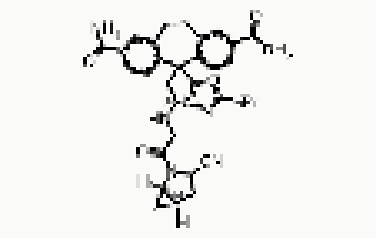 CC(C)c1nnc(C2(C[C@@H](C)NCC(=O)N3C(C#N)C[C@@H]4C[C@@H]43)c3ccc(C(N)=O)cc3CCc3cc(C(N)=O)ccc32)o1